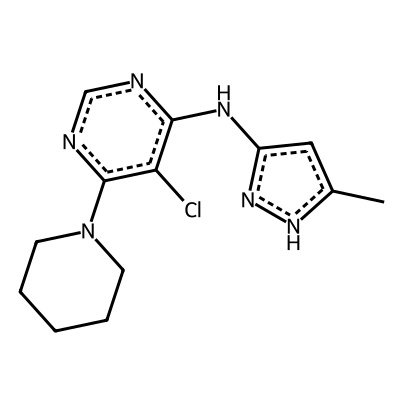 Cc1cc(Nc2ncnc(N3CCCCC3)c2Cl)n[nH]1